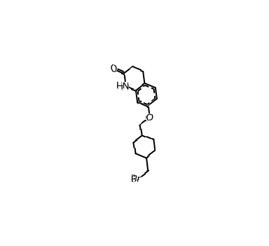 O=C1CCc2ccc(OCC3CCC(CBr)CC3)cc2N1